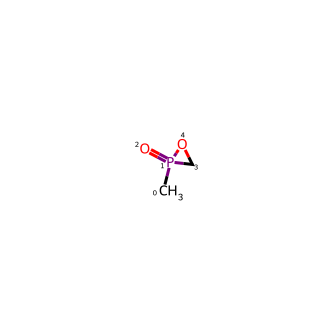 CP1(=O)CO1